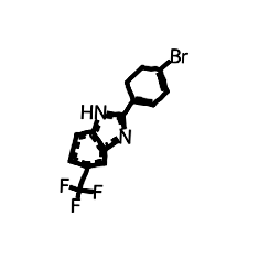 FC(F)(F)c1ccc2[nH]c(C3=CC=C(Br)CC3)nc2c1